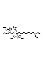 CCCN(C[SiH2]C(CCCCCCCN(CC)CC)[Si](C)(OCC)OCC)[Si](C)(OCC)OCC